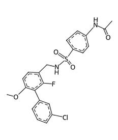 COc1ccc(CNS(=O)(=O)c2ccc(NC(C)=O)cc2)c(F)c1-c1cccc(Cl)c1